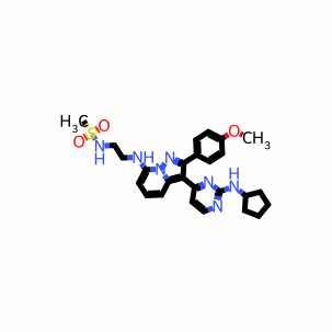 COc1ccc(-c2nn3c(NCCNS(C)(=O)=O)cccc3c2-c2ccnc(NC3CCCC3)n2)cc1